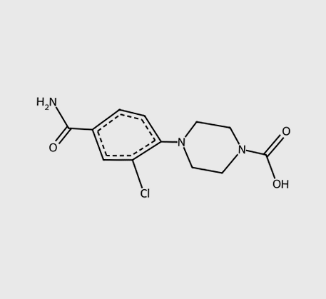 NC(=O)c1ccc(N2CCN(C(=O)O)CC2)c(Cl)c1